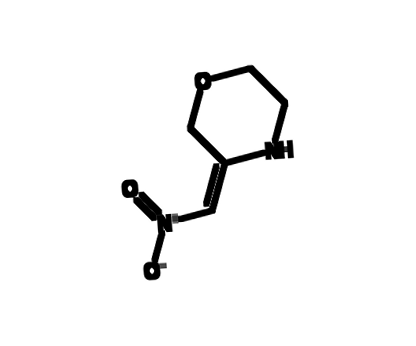 O=[N+]([O-])C=C1COCCN1